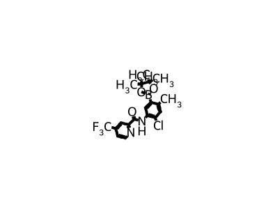 Cc1cc(Cl)c(NC(=O)c2cc(C(F)(F)F)ccn2)cc1B1OC(C)(C)C(C)(C)O1